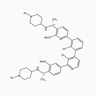 COc1cc(-c2nccc(-c3cccc(-c4ccc([C@@H](C)NC5CCN(C(C)=O)CC5)c(OC)n4)c3Cl)c2Cl)ccc1[C@H](C)NC1CCN(C(C)=O)CC1